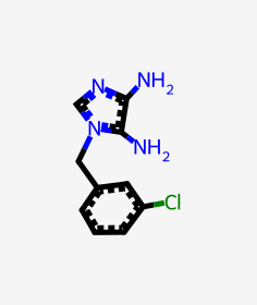 Nc1ncn(Cc2cccc(Cl)c2)c1N